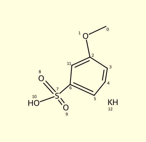 COc1cccc(S(=O)(=O)O)c1.[KH]